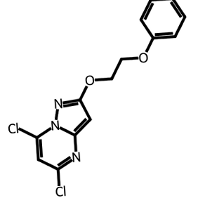 Clc1cc(Cl)n2nc(OCCOc3ccccc3)cc2n1